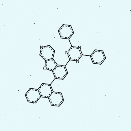 c1ccc(-c2nc(-c3ccccc3)nc(-c3ccc(-c4cc5ccccc5c5ccccc45)c4oc5cnccc5c34)n2)cc1